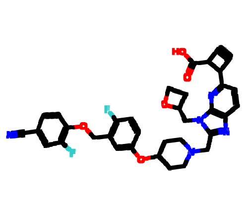 N#Cc1ccc(OCc2cc(OC3CCN(Cc4nc5ccc(C6C#CC6C(=O)O)nc5n4C[C@@H]4CCO4)CC3)ccc2F)c(F)c1